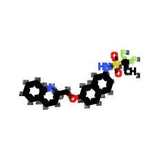 CC(F)(F)S(=O)(=O)Nc1ccc2ccc(OCc3ccc4ccccc4n3)cc2c1